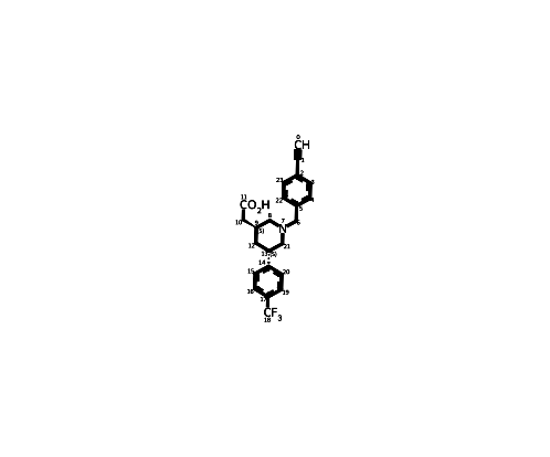 C#Cc1ccc(CN2C[C@H](CC(=O)O)C[C@@H](c3ccc(C(F)(F)F)cc3)C2)cc1